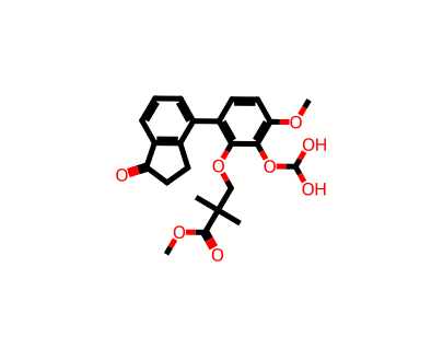 COC(=O)C(C)(C)COc1c(-c2cccc3c2CCC3=O)ccc(OC)c1OC(O)O